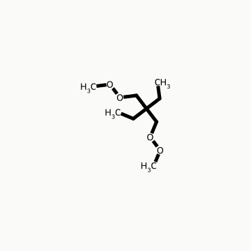 CCC(CC)(COOC)COOC